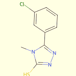 Cn1c(S)nnc1-c1cccc(Cl)c1